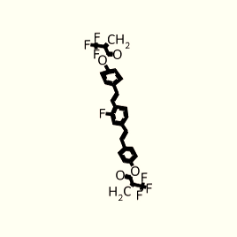 C=C(C(=O)Oc1ccc(/C=C/c2ccc(/C=C/c3ccc(OC(=O)C(=C)C(F)(F)F)cc3)c(F)c2)cc1)C(F)(F)F